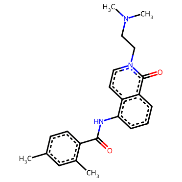 Cc1ccc(C(=O)Nc2cccc3c(=O)n(CCN(C)C)ccc23)c(C)c1